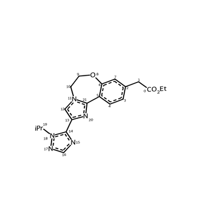 CCOC(=O)Cc1ccc2c(c1)OCCn1cc(-c3ncnn3C(C)C)nc1-2